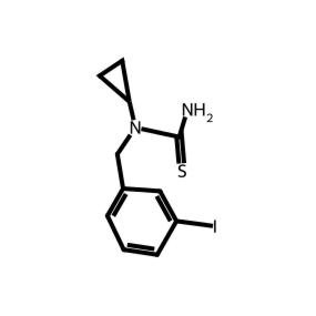 NC(=S)N(Cc1cccc(I)c1)C1CC1